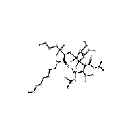 CCCCCCCCOC(=O)C(CC(C)(CCCC)C(C)(CCCC)C(C(=O)OC(C)C)C(C(=O)OC(C)C)C(C)C)C(C)(C)CCCC